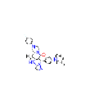 CC1=C(C(=O)N2CCN(c3ccc(F)cc3)CC2)C(c2ccc(N(C)C)cc2)n2nccc2N1